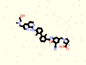 Cc1c(Nc2nccc3cc(CN(C)CCO)cnc23)cccc1-c1cccc(-c2nc3cc(CN4CC[C@@](C)(C(=O)O)C4)cc(C#N)c3o2)c1C